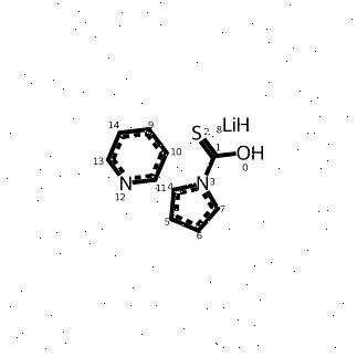 OC(=S)n1cccc1.[LiH].c1ccncc1